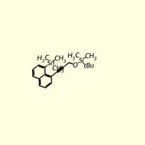 CC(C)(C)[Si](C)(C)OCC#Cc1cccc2ccc[c]([Sn]([CH3])([CH3])[CH3])c12